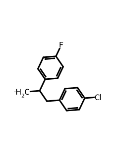 [CH2]C(Cc1ccc(Cl)cc1)c1ccc(F)cc1